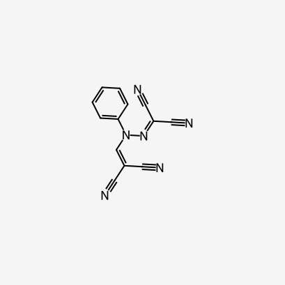 N#CC(C#N)=CN(N=C(C#N)C#N)c1ccccc1